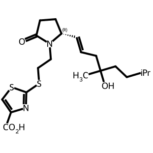 CC(C)CCC(C)(O)CC=C[C@H]1CCC(=O)N1CCSc1nc(C(=O)O)cs1